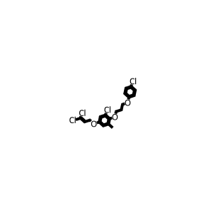 Cc1cc(OCC=C(Cl)Cl)cc(Cl)c1OCCCOc1ccc(Cl)cc1